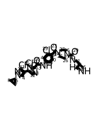 Cn1c(-c2cn(C3CC3)nc2C(F)(F)F)cnc1C(=O)Nc1ccc(C(=O)N2CCN(C(=O)NCC3CNC3)CC2)c(Cl)c1